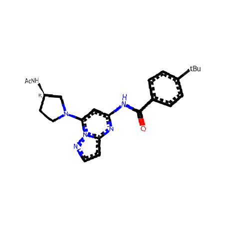 CC(=O)N[C@@H]1CCN(c2cc(NC(=O)c3ccc(C(C)(C)C)cc3)nc3ccnn23)C1